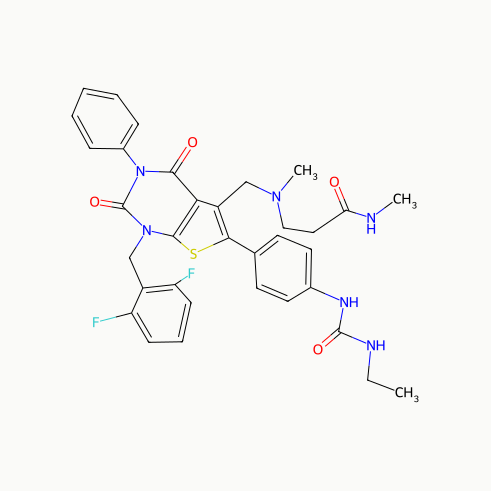 CCNC(=O)Nc1ccc(-c2sc3c(c2CN(C)CCC(=O)NC)c(=O)n(-c2ccccc2)c(=O)n3Cc2c(F)cccc2F)cc1